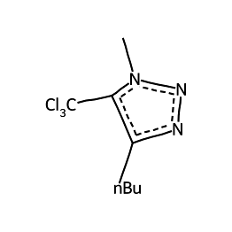 CCCCc1nnn(C)c1C(Cl)(Cl)Cl